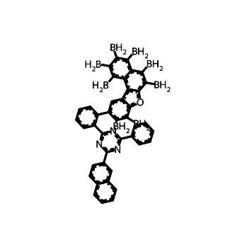 Bc1c(-c2ccccc2-c2nc(-c3ccccc3)nc(-c3ccc4ccccc4c3)n2)cc2c(oc3c(B)c(B)c4c(B)c(B)c(B)c(B)c4c32)c1B